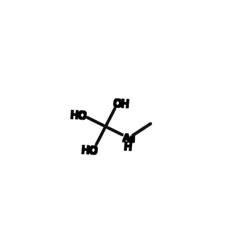 C[AsH]C(O)(O)O